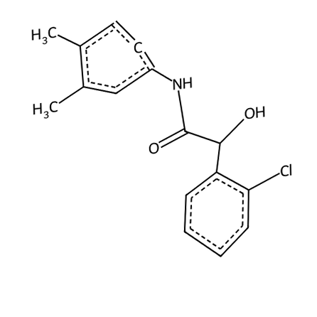 Cc1ccc(NC(=O)C(O)c2ccccc2Cl)cc1C